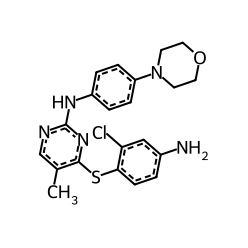 Cc1cnc(Nc2ccc(N3CCOCC3)cc2)nc1Sc1ccc(N)cc1Cl